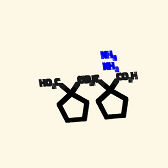 N.N.O=C(O)C1(C(=O)O)CCCC1.O=C(O)C1(C(=O)O)CCCC1